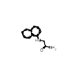 NC(=O)CNc1cccc2ccccc12